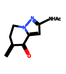 C=C1CCn2nc(NC(C)=O)cc2C1=O